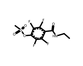 CCNC(=O)c1c(F)c(F)c(OS(C)(=O)=O)c(F)c1F